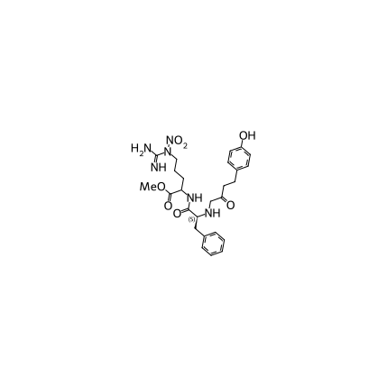 COC(=O)C(CCCN(C(=N)N)[N+](=O)[O-])NC(=O)[C@H](Cc1ccccc1)NCC(=O)CCc1ccc(O)cc1